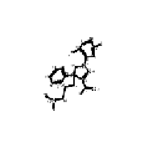 CC(=O)C1=NN(c2cc(C)ccc2F)CC1(CCCN(C)C)c1ccccc1